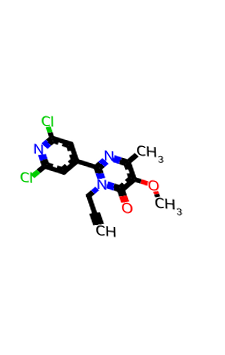 C#CCn1c(-c2cc(Cl)nc(Cl)c2)nc(C)c(OC)c1=O